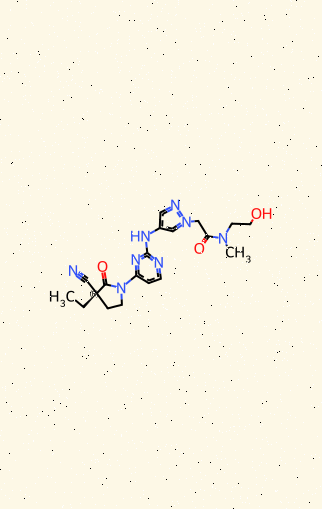 CC[C@]1(C#N)CCN(c2ccnc(Nc3cnn(CC(=O)N(C)CCO)c3)n2)C1=O